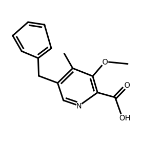 COc1c(C(=O)O)ncc(Cc2ccccc2)c1C